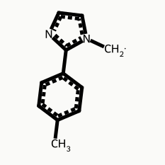 [CH2]n1ccnc1-c1ccc(C)cc1